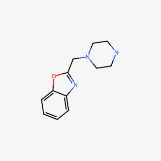 c1ccc2oc(CN3CC[N]CC3)nc2c1